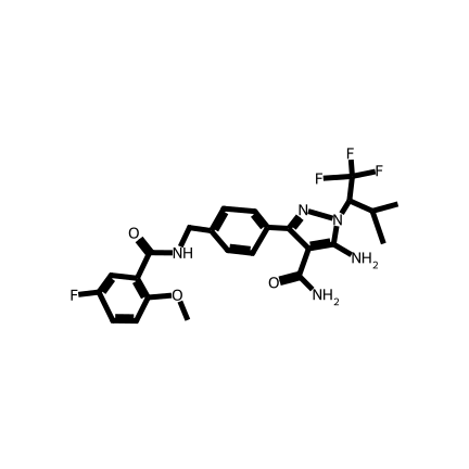 COc1ccc(F)cc1C(=O)NCc1ccc(-c2nn(C(C(C)C)C(F)(F)F)c(N)c2C(N)=O)cc1